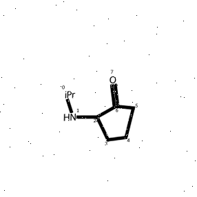 CC(C)NC1CCCC1=O